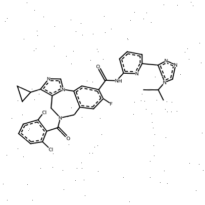 CC(C)n1cnnc1-c1cccc(NC(=O)c2cc3c(cc2F)CN(C(=O)c2c(Cl)cccc2Cl)Cc2c(C4CC4)ncn2-3)n1